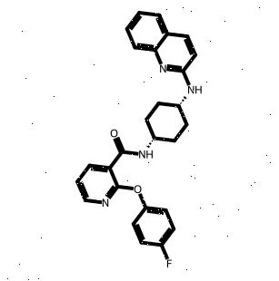 O=C(N[C@H]1CC[C@@H](Nc2ccc3ccccc3n2)CC1)c1cccnc1Oc1ccc(F)cc1